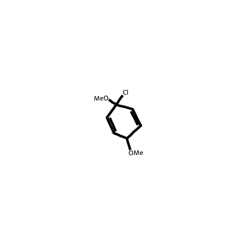 COC1[C]=CC(Cl)(OC)C=C1